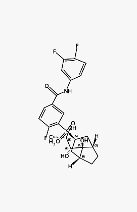 C[C@H](O)[C@@H](O)[C@@]1(O)[C@@H]2CC[C@H]1C[C@H](S(=O)(=O)c1cc(C(=O)Nc3ccc(F)c(F)c3)ccc1F)C2